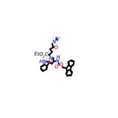 CCOC(=O)C(CCC(=O)C=[N+]=[N-])NCC(Cc1c[nH]c2ccccc12)NC(=O)OCC1c2ccccc2-c2ccccc21